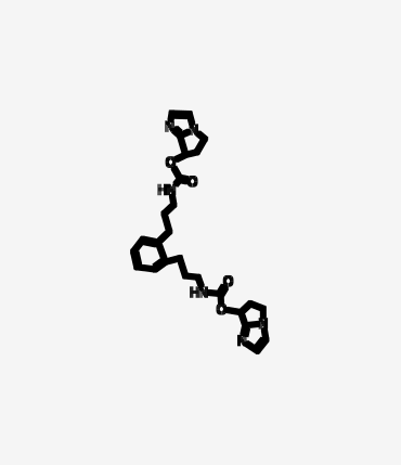 O=C(NCCCc1ccccc1CCCNC(=O)OC1CCn2ccnc21)OC1CCn2ccnc21